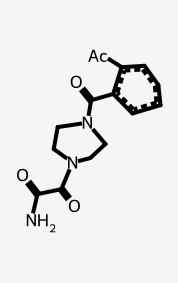 CC(=O)c1ccccc1C(=O)N1CCN(C(=O)C(N)=O)CC1